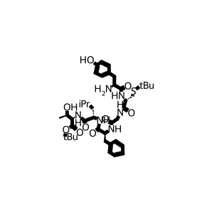 CC(C)C[C@H](NC(=O)[C@H](Cc1ccccc1)NC(=O)CNC(=O)[C@@H](CSC(C)(C)C)NC(=O)[C@@H](N)Cc1ccc(O)cc1)C(=O)N[C@H](C(=O)OC(C)(C)C)[C@@H](C)O